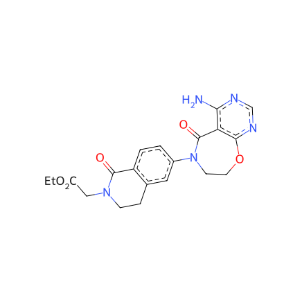 CCOC(=O)CN1CCc2cc(N3CCOc4ncnc(N)c4C3=O)ccc2C1=O